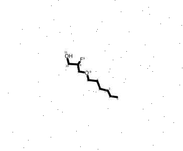 CCCCCCOCC(F)CO